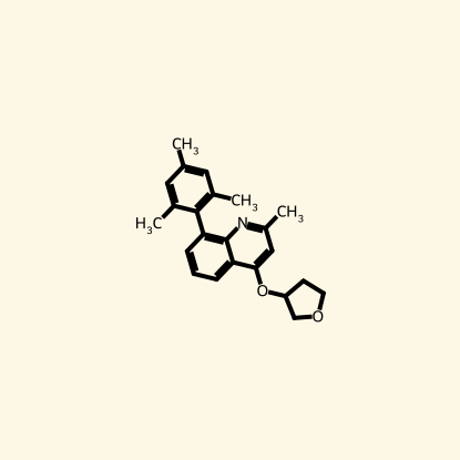 Cc1cc(C)c(-c2cccc3c(OC4CCOC4)cc(C)nc23)c(C)c1